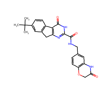 CC(C)(C)c1ccc2c(c1)Cc1nc(C(=O)NCc3ccc4c(c3)NC(=O)CO4)[nH]c(=O)c1-2